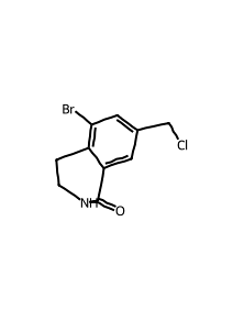 O=C1NCCc2c(Br)cc(CCl)cc21